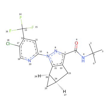 CC(C)(C)NC(=O)c1nn(-c2cc(C(F)(F)F)c(Cl)cn2)c2c1C[C@H]1C[C@@H]21